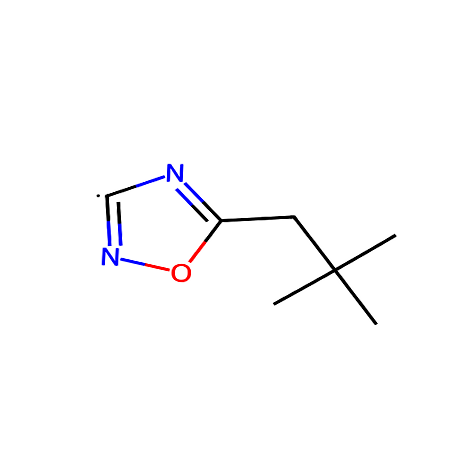 CC(C)(C)Cc1n[c]no1